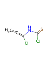 C=C=C(Cl)NC(=S)Cl